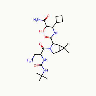 CC(C)(C)NC(=O)N[C@@H](CN)C(=O)N1CC2C(C1C(=O)NC(C1CCC1)C(O)C(N)=O)C2(C)C